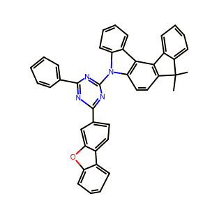 CC1(C)c2ccccc2-c2c1ccc1c2c2ccccc2n1-c1nc(-c2ccccc2)nc(-c2ccc3c(c2)oc2ccccc23)n1